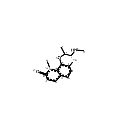 CNCC(C)Oc1c(F)ccc2ccc(=O)n(C)c12